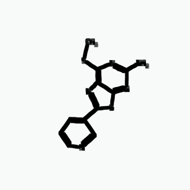 CSc1nc(N)nc2sc(-c3cccnc3)nc12